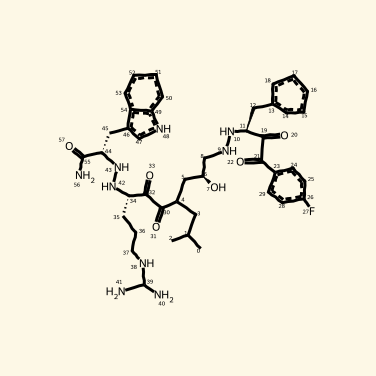 CC(C)CC(C[C@H](O)CNN[C@@H](Cc1ccccc1)C(=O)C(=O)c1ccc(F)cc1)C(=O)C(=O)[C@H](CCCNC(N)N)NN[C@@H](Cc1c[nH]c2ccccc12)C(N)=O